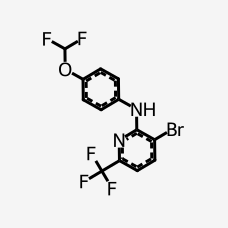 FC(F)Oc1ccc(Nc2nc(C(F)(F)F)ccc2Br)cc1